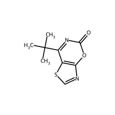 CC(C)(C)c1nc(=O)oc2ncsc12